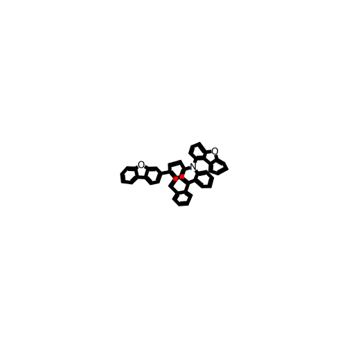 c1ccc(N(c2ccc(-c3ccc4c(c3)oc3ccccc34)cc2)c2cccc3oc4ccccc4c23)c(-c2cccc3ccccc23)c1